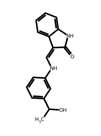 CC(O)c1cccc(NC=C2C(=O)Nc3ccccc32)c1